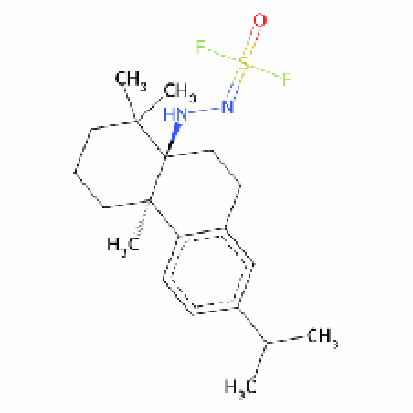 CC(C)c1ccc2c(c1)CC[C@@]1(NN=S(=O)(F)F)C(C)(C)CCC[C@]21C